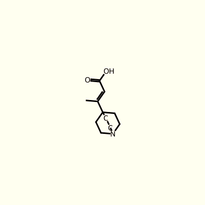 CC(=CC(=O)O)C12CCN(CC1)CC2